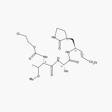 CCC[C@H](NC(=O)[C@@H](NC(=O)OCCCl)C(C)OC(C)(C)C)C(=O)N[C@H](/C=C/C(=O)OCC)C[C@@H]1CCNC1=O